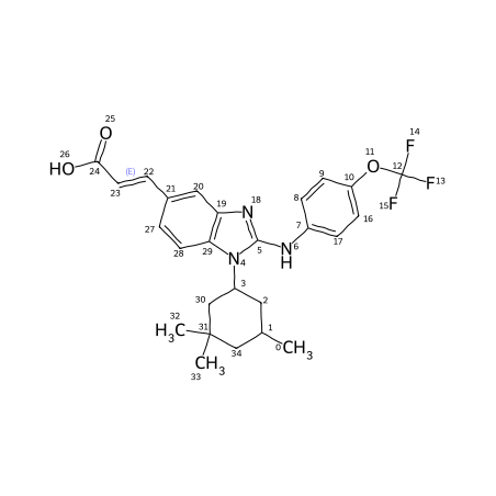 CC1CC(n2c(Nc3ccc(OC(F)(F)F)cc3)nc3cc(/C=C/C(=O)O)ccc32)CC(C)(C)C1